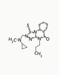 CCCn1c(=O)c2ccccc2n2c(=S)n(CN(C)C3CC3)nc12